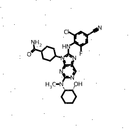 CN(c1ncc2nc(Nc3c(F)cc(C#N)cc3Cl)n(C3CCC(C(N)=O)CC3)c2n1)[C@H]1CCCC[C@H]1O